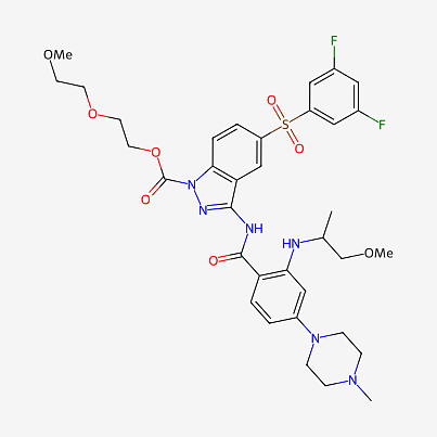 COCCOCCOC(=O)n1nc(NC(=O)c2ccc(N3CCN(C)CC3)cc2NC(C)COC)c2cc(S(=O)(=O)c3cc(F)cc(F)c3)ccc21